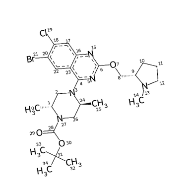 C[C@@H]1CN(c2nc(OC[C@@H]3CCCN3C)nc3cc(Cl)c(Br)cc23)[C@@H](C)CN1C(=O)OC(C)(C)C